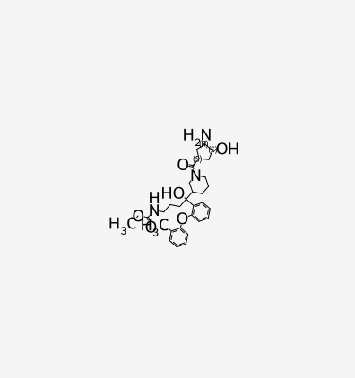 COC(=O)NCCCC(O)(c1ccccc1Oc1ccccc1C)C1CCCN(C(=O)[C@H]2C[C@@H](N)[C@@H](O)C2)C1